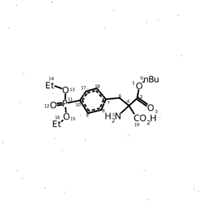 CCCCOC(=O)C(N)(Cc1ccc(P(=O)(OCC)OCC)cc1)C(=O)O